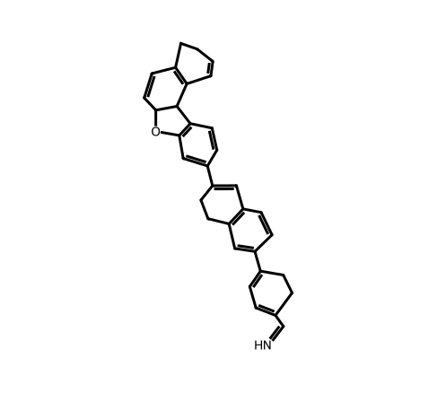 N=CC1=CC=C(c2ccc3c(c2)CCC(c2ccc4c(c2)OC2C=CC5=C(C=CCC5)C42)=C3)CC1